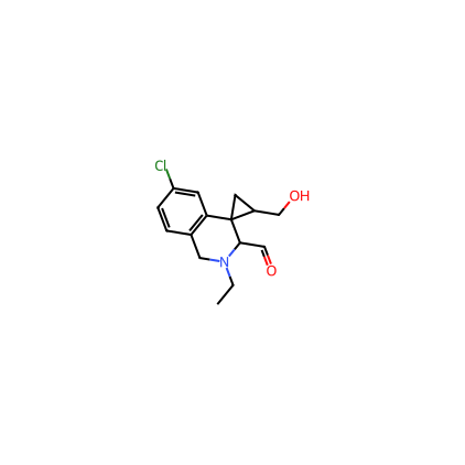 CCN1Cc2ccc(Cl)cc2C2(CC2CO)C1C=O